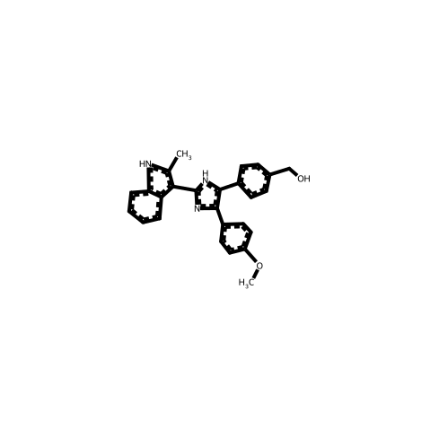 COc1ccc(-c2nc(-c3c(C)[nH]c4ccccc34)[nH]c2-c2ccc(CO)cc2)cc1